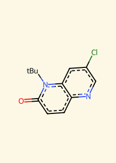 CC(C)(C)n1c(=O)ccc2ncc(Cl)cc21